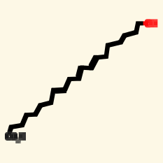 O=C(O)CCCCCC/C=C/C/C=C/C=C/CCCCCCO